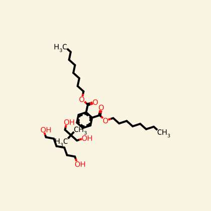 CC(C)(CO)CO.CCCCCCCCOC(=O)c1ccccc1C(=O)OCCCCCCCC.OCCCCCCO